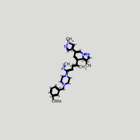 C=N/C(=C\C=C(/C)c1cc(-c2cnn(C)c2)cn2ncc(C#N)c12)N1CCN(Cc2cccc(OC)c2)CC1